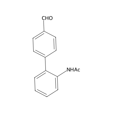 CC(=O)Nc1ccccc1-c1ccc(C=O)cc1